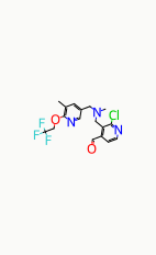 Cc1cc(CN(C)Cc2c(C=O)ccnc2Cl)cnc1OCC(F)(F)F